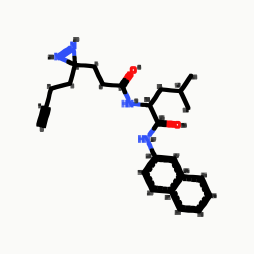 C#CCCC1(CCC(=O)NC(CC(C)C)C(=O)Nc2ccc3ccccc3c2)N=N1